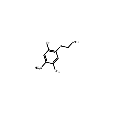 CCCCCCCCCCOc1cc(C)c(S(=O)(=O)O)cc1C(C)C